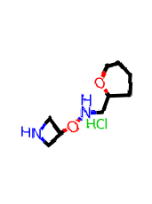 C1CCC(CNOC2CNC2)OC1.Cl